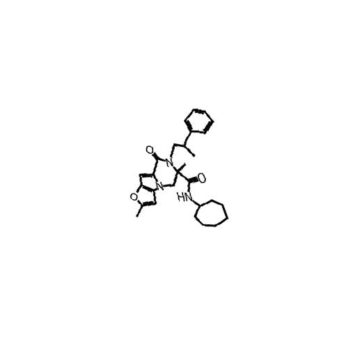 Cc1cc2c(cc3n2CC(C)(C(=O)NC2CCCCCC2)N(CC(C)c2ccccc2)C3=O)o1